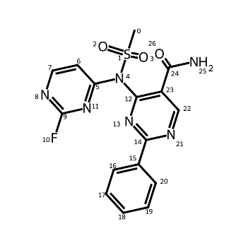 CS(=O)(=O)N(c1ccnc(F)n1)c1nc(-c2ccccc2)ncc1C(N)=O